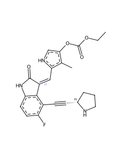 CCOC(=O)Oc1c[nH]c(/C=C2\C(=O)Nc3ccc(F)c(C#C[C@@H]4CCCN4)c32)c1C